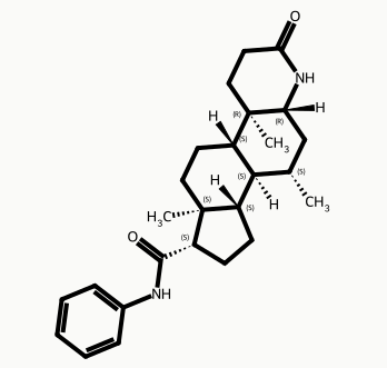 C[C@H]1C[C@H]2NC(=O)CC[C@]2(C)[C@H]2CC[C@]3(C)[C@@H](C(=O)Nc4ccccc4)CC[C@H]3[C@H]12